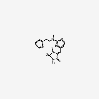 CN1C(=O)NC(=O)C1=Cc1ccnc(N(C)CCc2ccccn2)n1